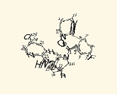 O=C(c1cc(F)ccc1-c1ncccn1)N1C[C@@H]2C[C@@H](Nc3ccc(Cl)cn3)[C@@H]1C2